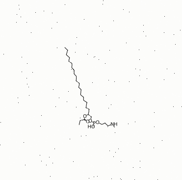 CCCCCCCCCCCCCCCCCCCCC(COP(O)OCCCNC)OC(=O)CC